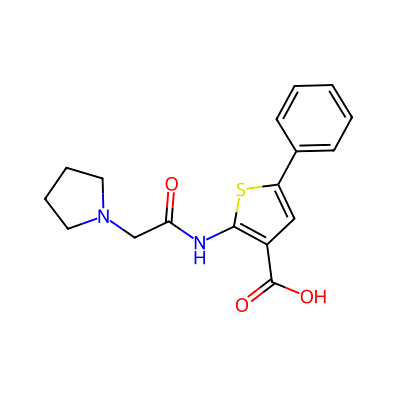 O=C(CN1CCCC1)Nc1sc(-c2ccccc2)cc1C(=O)O